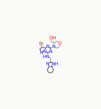 OCC1COCCN1c1nc(NCc2nc3ccccc3[nH]2)n2ncc(Br)c2n1